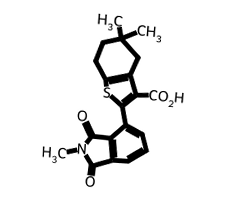 CN1C(=O)c2cccc(-c3sc4c(c3C(=O)O)CC(C)(C)CC4)c2C1=O